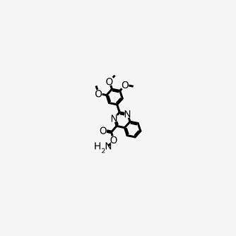 COc1cc(-c2nc(C(=O)ON)c3ccccc3n2)cc(OC)c1OC